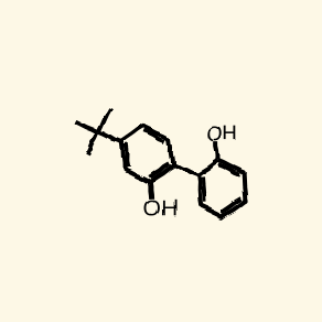 CC(C)(C)c1ccc(-c2ccccc2O)c(O)c1